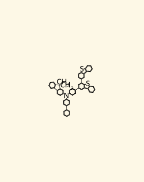 CC1(C)c2ccccc2-c2ccc(N(c3ccc(-c4ccccc4)cc3)c3ccc(-c4cc(-c5ccc6sc7ccccc7c6c5)c5sc6ccccc6c5c4)cc3)cc21